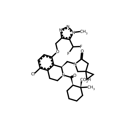 Cn1nnc(COc2ccc(Cl)c3c2[C@@H](CN2CC4(CC4)CC2=O)N(C(=O)[C@@H]2CCCC[C@]2(C)C(=O)O)CC3)c1C(F)F